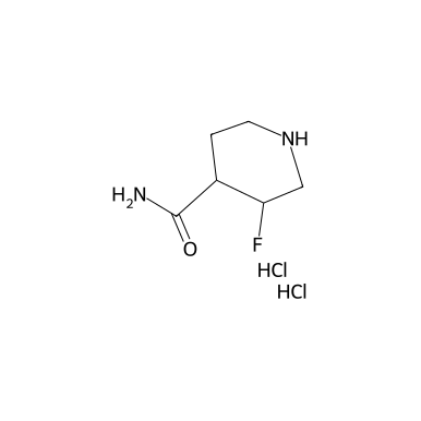 Cl.Cl.NC(=O)C1CCNCC1F